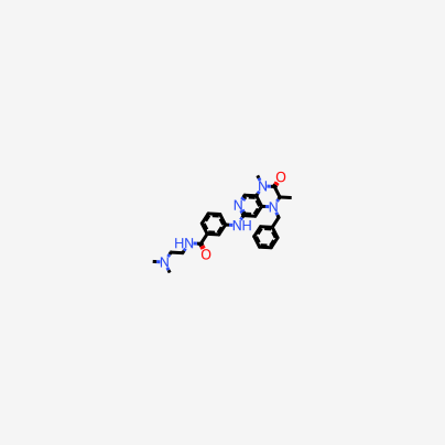 CC1C(=O)N(C)c2cnc(Nc3cccc(C(=O)NCCN(C)C)c3)cc2N1Cc1ccccc1